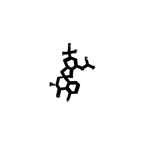 O=C1c2c(F)cccc2[C@@]2(C[C@H]1F)CN1C=C(C(F)(F)F)C=C(OC(F)F)C1=N2